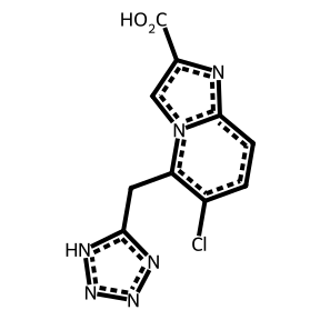 O=C(O)c1cn2c(Cc3nnn[nH]3)c(Cl)ccc2n1